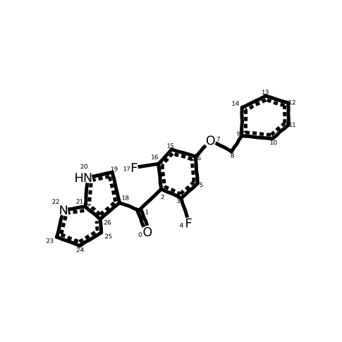 O=C(c1c(F)cc(OCc2ccccc2)cc1F)c1c[nH]c2ncccc12